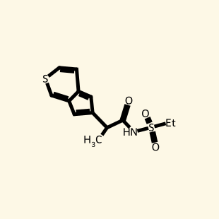 CCS(=O)(=O)NC(=O)C(C)c1cc2ccscc-2c1